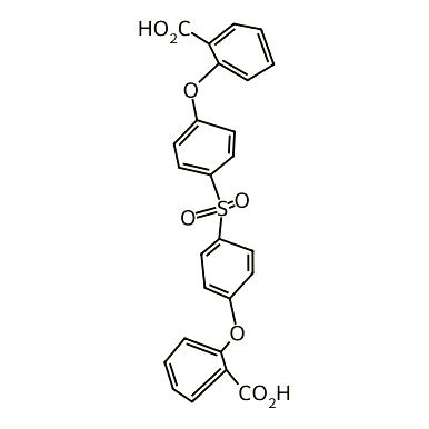 O=C(O)c1ccccc1Oc1ccc(S(=O)(=O)c2ccc(Oc3ccccc3C(=O)O)cc2)cc1